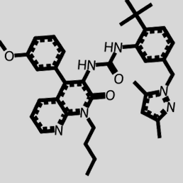 CCCCn1c(=O)c(NC(=O)Nc2cc(Cn3nc(C)cc3C)ccc2C(C)(C)C)c(-c2cccc(OC)c2)c2cccnc21